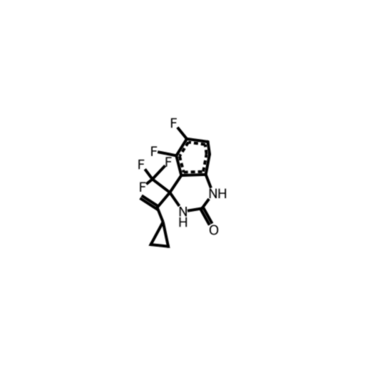 C=C(C1CC1)C1(C(F)(F)F)NC(=O)Nc2ccc(F)c(F)c21